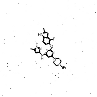 Cc1cc(Nc2cc(N3CCN(C(C)C)CC3)nc(Oc3ccc4[nH]c(C)cc4c3F)n2)n[nH]1